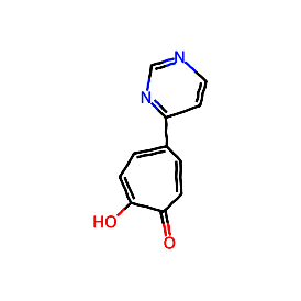 O=c1ccc(-c2ccncn2)ccc1O